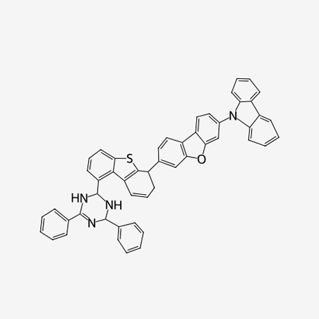 C1=Cc2c(sc3cccc(C4NC(c5ccccc5)=NC(c5ccccc5)N4)c23)C(c2ccc3c(c2)oc2cc(-n4c5ccccc5c5ccccc54)ccc23)C1